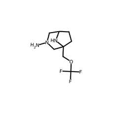 NN1CC2CCC(COC(F)(F)F)(C1)N2